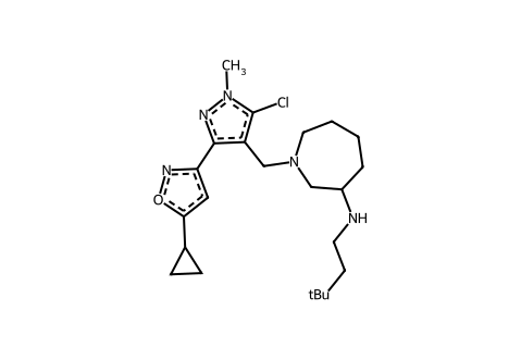 Cn1nc(-c2cc(C3CC3)on2)c(CN2CCCCC(NCCC(C)(C)C)C2)c1Cl